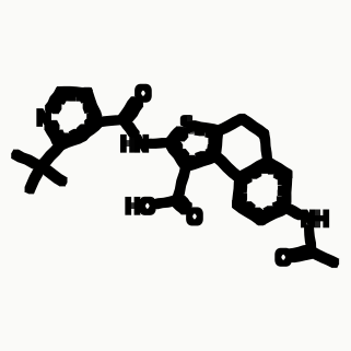 CC(=O)Nc1ccc2c(c1)CCc1sc(NC(=O)c3ccnc(C(C)(C)C)c3)c(C(=O)O)c1-2